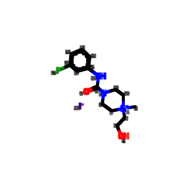 C[N+]1(CCO)CCN(C(=O)Nc2cccc(F)c2)CC1.[I-]